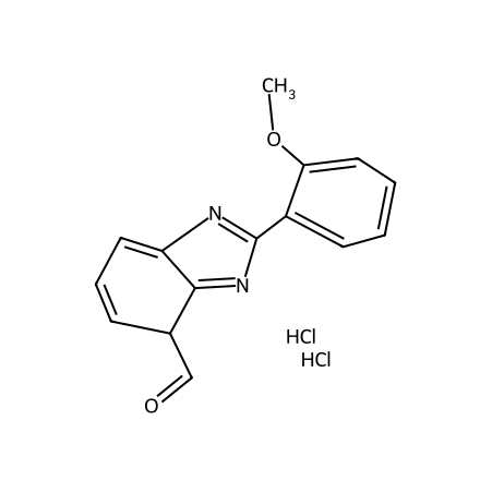 COc1ccccc1C1=NC2=CC=CC(C=O)C2=N1.Cl.Cl